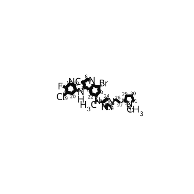 CN(c1cc(Br)c2ncc(C#N)c(Nc3ccc(F)c(Cl)c3)c2c1)c1cn(CC[C@@H]2CCCN2C)nn1